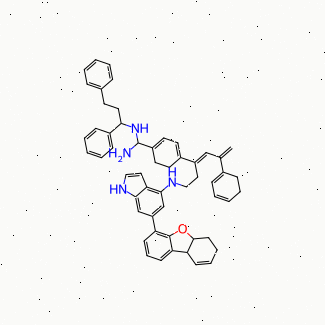 C=C(/C=C(\CCNc1cc(-c2cccc3c2OC2CCC=CC32)cc2[nH]ccc12)C1=CC=C(C(N)NC(CCc2ccccc2)c2ccccc2)CC1)C1=CC=CCC1